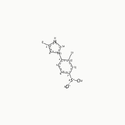 Cc1cn(-c2ccc([S+]([O-])Cl)cc2C)cn1